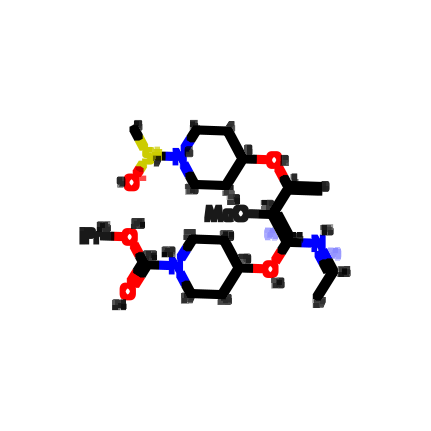 C=C(OC1CCN([S+](C)[O-])CC1)/C(OC)=C(\N=C/C)OC1CCN(C(=O)OC(C)C)CC1